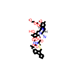 COCCOCOc1c(OC)c(C)cc2c1[C@H]1C3Cc4c(O)c(C)c5c(c4[C@H](COC(=O)[C@@H](CSCC4c6ccccc6-c6ccccc64)NC(=O)OC(C)(C)C)N3[C@@H](C#N)[C@H](C2)N1C)OCO5